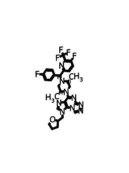 C[C@@H]1CN(c2nc3nncn3c3c2ncn3CC2CCCO2)[C@@H](C)CN1[C@H](c1ccc(F)cc1)c1ccc(F)c(C(F)(F)F)n1